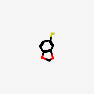 Sc1ccc2c(c1)OCO2